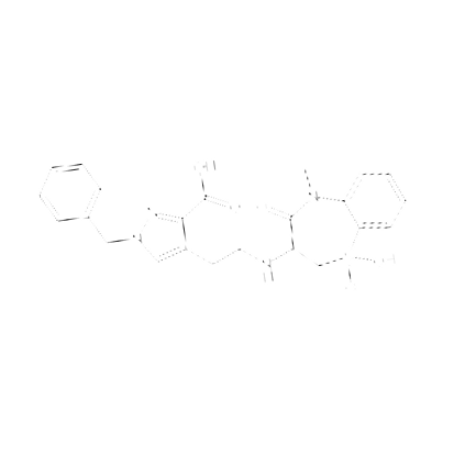 CN1C(=O)C(NCCc2cn(Cc3ccccc3)nc2C(=O)O)CS(O)(O)c2ccccc21